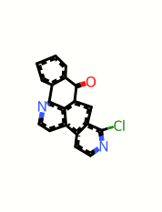 O=C1c2ccccc2-c2nccc3c2c1cc1c(Cl)nccc13